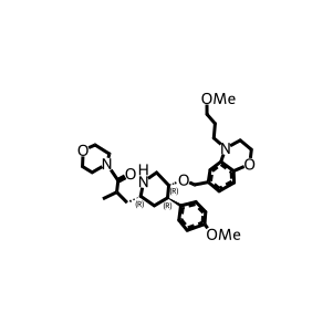 COCCCN1CCOc2ccc(CO[C@H]3CN[C@@H](CC(C)C(=O)N4CCOCC4)C[C@@H]3c3ccc(OC)cc3)cc21